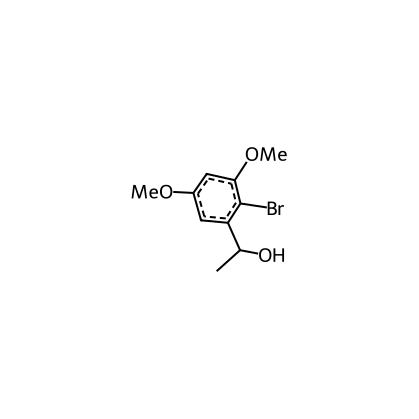 COc1cc(OC)c(Br)c(C(C)O)c1